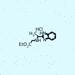 CCOC(=O)CNC(C)c1nc2ccccc2[nH]1.Cl